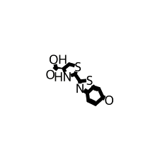 O=C1C=CC2=NC(C3N[C@@H](C(=O)O)CS3)SC2=C1